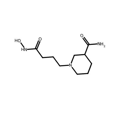 NC(=O)C1CCCN(CCCC(=O)NO)C1